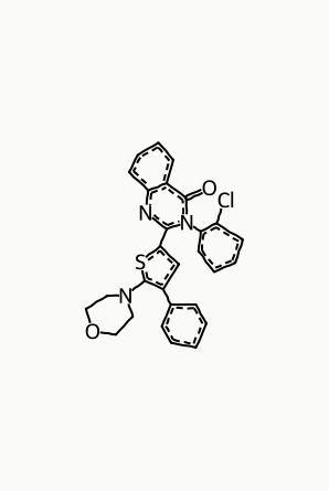 O=c1c2ccccc2nc(-c2cc(-c3ccccc3)c(N3CCOCC3)s2)n1-c1ccccc1Cl